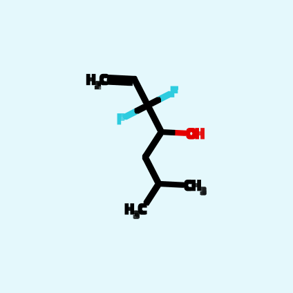 C=CC(F)(F)C(O)CC(C)C